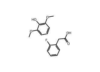 COc1cccc(OC)c1O.O=C(O)Cc1ccccc1F